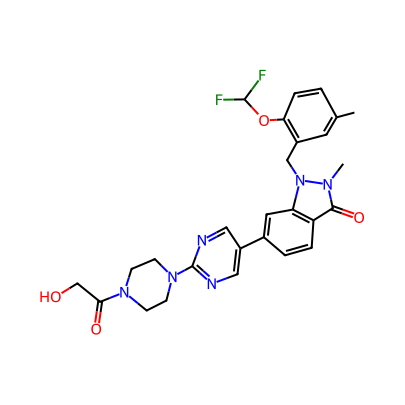 Cc1ccc(OC(F)F)c(Cn2c3cc(-c4cnc(N5CCN(C(=O)CO)CC5)nc4)ccc3c(=O)n2C)c1